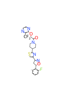 O=C(COc1nccnc1C(F)(F)F)N1CCC(c2nc(C3=NOC(c4[c]cccc4F)C3)cs2)CC1